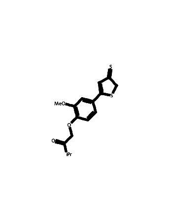 COc1cc(C2=CC(=S)CS2)ccc1OCC(=O)C(C)C